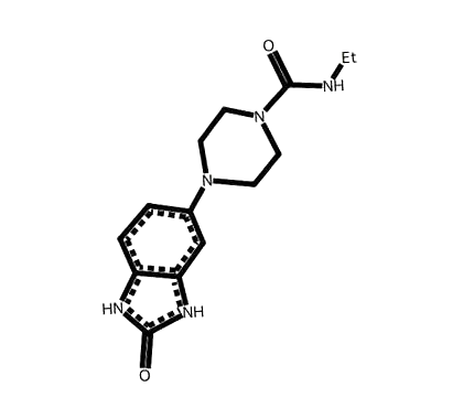 CCNC(=O)N1CCN(c2ccc3[nH]c(=O)[nH]c3c2)CC1